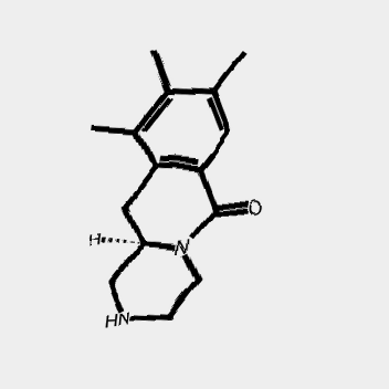 Cc1cc2c(c(C)c1C)C[C@@H]1CNCCN1C2=O